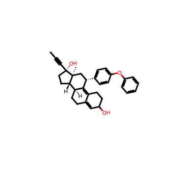 CC#C[C@]1(O)CC[C@H]2[C@@H]3CCC4=CC(O)CCC4=C3[C@@H](c3ccc(Oc4ccccc4)cc3)C[C@@]21C